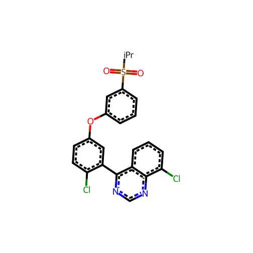 CC(C)S(=O)(=O)c1cccc(Oc2ccc(Cl)c(-c3ncnc4c(Cl)cccc34)c2)c1